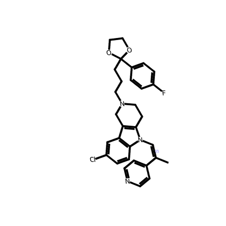 C/C(=C/n1c2c(c3cc(Cl)ccc31)CN(CCCC1(c3ccc(F)cc3)OCCO1)CC2)c1ccncc1